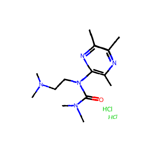 Cc1nc(C)c(N(CCN(C)C)C(=O)N(C)C)nc1C.Cl.Cl